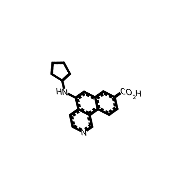 O=C(O)c1ccc2c(c1)cc(NC1CCCC1)c1ccncc12